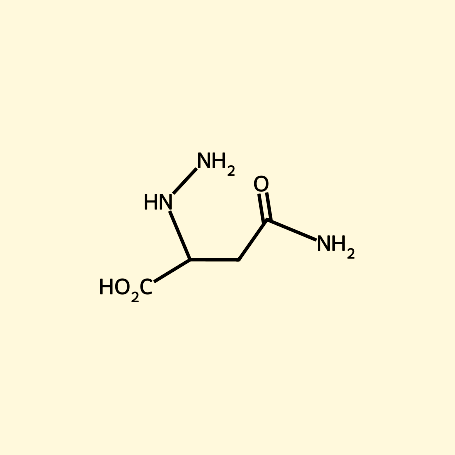 NNC(CC(N)=O)C(=O)O